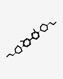 CCC[C@H]1CC[C@H](c2ccc(-c3ccc([C@H]4CC[C@H](CCC)CC4)c(C)c3)cc2C)CC1